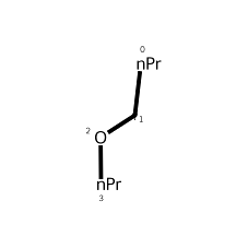 CCC[CH]OCCC